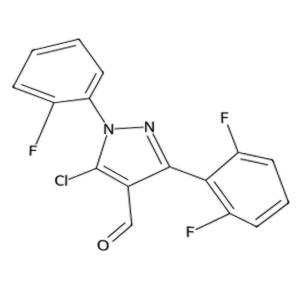 O=Cc1c(-c2c(F)cccc2F)nn(-c2ccccc2F)c1Cl